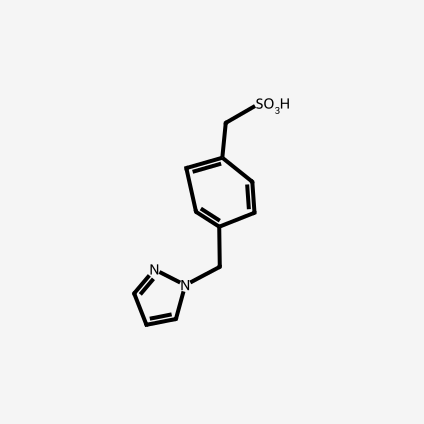 O=S(=O)(O)Cc1ccc(Cn2cccn2)cc1